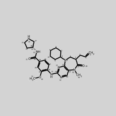 C=CCC1CN(C2CCCCC2)c2nc(Nc3ccc(C(=O)N[C@@H]4CCNC4)cc3OC)ncc2N(C)C1=O